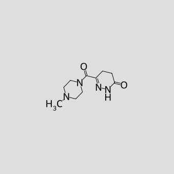 CN1CCN(C(=O)C2=NNC(=O)CC2)CC1